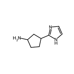 NC1CCC(c2ncc[nH]2)C1